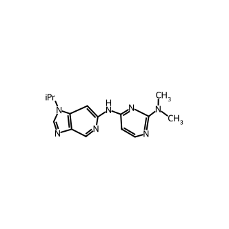 CC(C)n1cnc2cnc(Nc3ccnc(N(C)C)n3)cc21